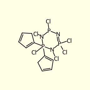 ClN1P(Cl)N=P(Cl)(Cl)N(Cl)P1(Cl)(C1=CC=CC1)C1=CC=CC1